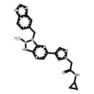 CN1Nc2ncc(-c3cnn(CC(=O)NC4CC4)c3)nc2N1Cc1ccc2ncsc2c1